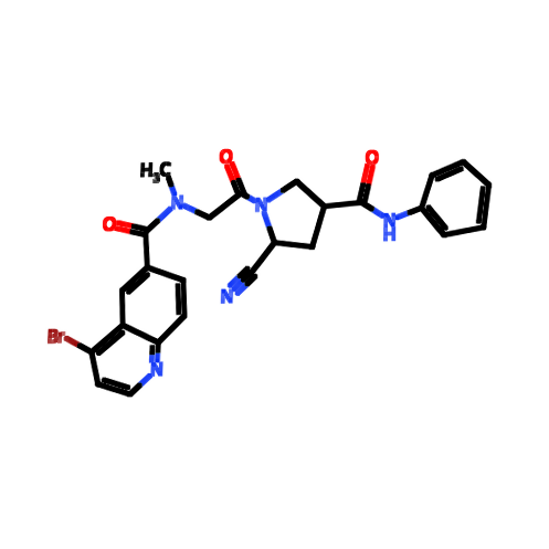 CN(CC(=O)N1CC(C(=O)Nc2ccccc2)CC1C#N)C(=O)c1ccc2nccc(Br)c2c1